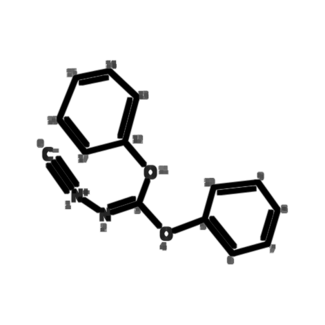 [C-]#[N+]N=C(Oc1ccccc1)Oc1ccccc1